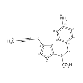 CC#CCn1cnc(C(Cc2ccc(N)nc2)C(=O)O)c1